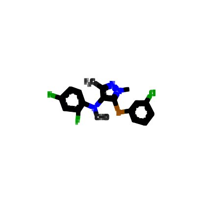 Cn1nc(C(F)(F)F)c(N(C=O)c2ccc(F)cc2F)c1Sc1cccc(Cl)c1